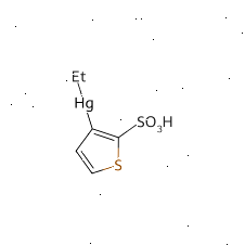 C[CH2][Hg][c]1ccsc1S(=O)(=O)O